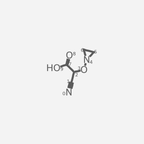 N#CC(ON1CC1)C(=O)O